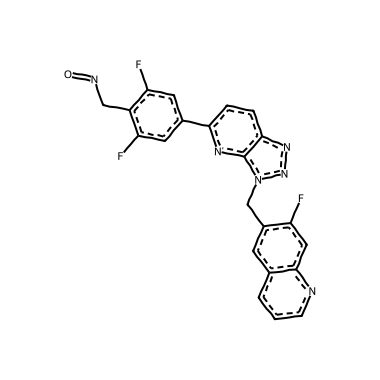 O=NCc1c(F)cc(-c2ccc3nnn(Cc4cc5cccnc5cc4F)c3n2)cc1F